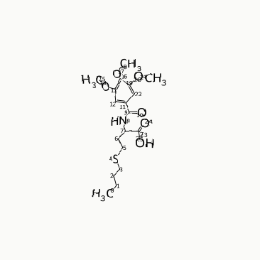 CCCCSCCC(NC(=O)c1cc(OC)c(OC)c(OC)c1)C(=O)O